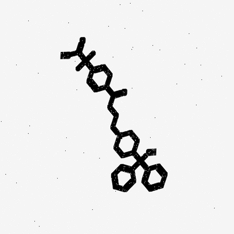 CC(C)(C(=O)O)C1=CCC(C(=O)CCCN2CCC(C(O)(c3ccccc3)c3ccccc3)CC2)C=C1